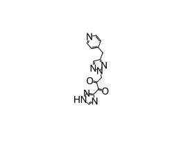 O=C(Cn1ncc(Cc2ccncc2)n1)C(=O)c1nc[nH]n1